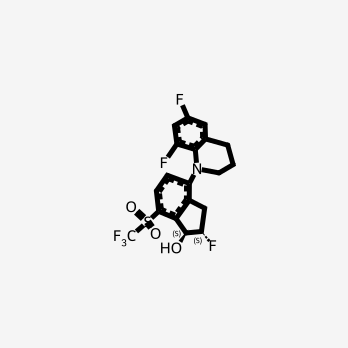 O=S(=O)(c1ccc(N2CCCc3cc(F)cc(F)c32)c2c1[C@H](O)[C@@H](F)C2)C(F)(F)F